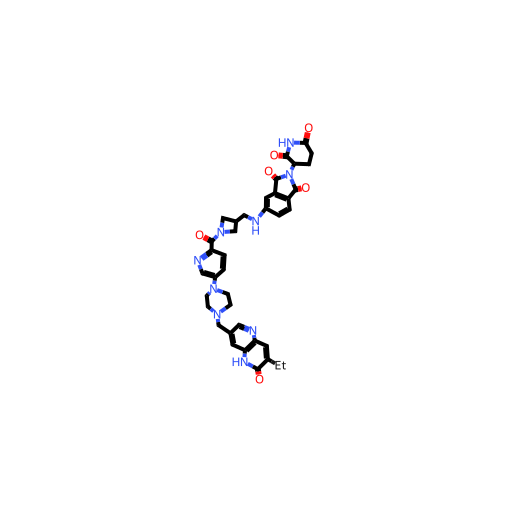 CCc1cc2ncc(CN3CCN(c4ccc(C(=O)N5CC(CNc6ccc7c(c6)C(=O)N(C6CCC(=O)NC6=O)C7=O)C5)nc4)CC3)cc2[nH]c1=O